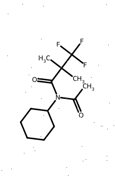 CC(=O)N(C(=O)C(C)(C)C(F)(F)F)C1CCCCC1